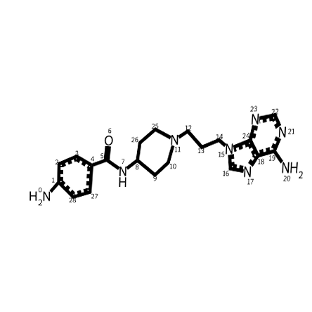 Nc1ccc(C(=O)NC2CCN(CCCn3cnc4c(N)ncnc43)CC2)cc1